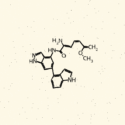 C=C(/C=C\C=C(/N)C(=O)Nc1cc(-c2cccc3[nH]ccc23)cc2[nH]ncc12)OC